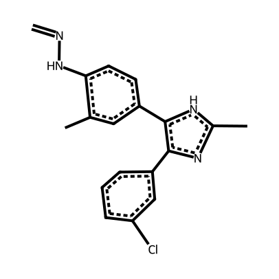 C=NNc1ccc(-c2[nH]c(C)nc2-c2cccc(Cl)c2)cc1C